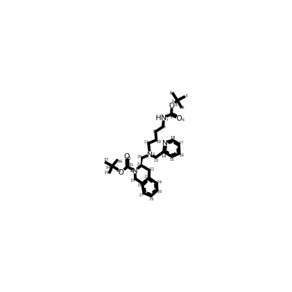 CC(C)(C)OC(=O)NCCCCN(Cc1ccccn1)C[C@H]1Cc2ccccc2CN1C(=O)OC(C)(C)C